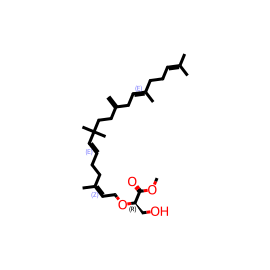 C=C(C/C=C(\C)CCC=C(C)C)CCC(C)(C)/C=C/CC/C(C)=C\CO[C@H](CO)C(=O)OC